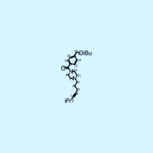 CC(C)C#CCCCN1CCN(C(=O)c2ccc(COCC(C)C)cc2)CC1